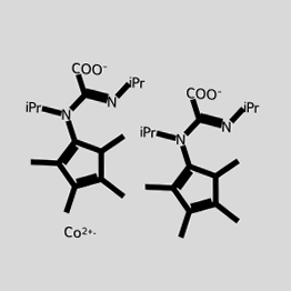 CC1=C(C)C(C)C(N(C(=NC(C)C)C(=O)[O-])C(C)C)=C1C.CC1=C(C)C(C)C(N(C(=NC(C)C)C(=O)[O-])C(C)C)=C1C.[Co+2]